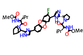 COC(=O)N[C@H](C(=O)N1C2CCC(C2)C1c1nc(-c2ccc3c(c2)Oc2cc(F)c(-c4cnc([C@@H]5CCCN5C(=O)[C@@H](NC(=O)OC)C(C)C)[nH]4)cc2O3)c[nH]1)C(C)C